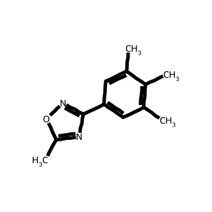 Cc1nc(-c2cc(C)c(C)c(C)c2)no1